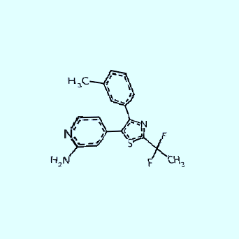 Cc1cccc(-c2nc(C(C)(F)F)sc2-c2ccnc(N)c2)c1